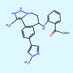 COC(=O)c1ccccc1NC1CCN2NNC(C)=C2c2ccc(-c3cnn(C)c3)cc21